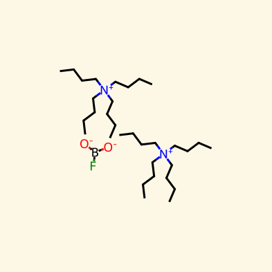 CCCC[N+](CCCC)(CCCC)CCCC.CCCC[N+](CCCC)(CCCC)CCCC.[O-]B([O-])F